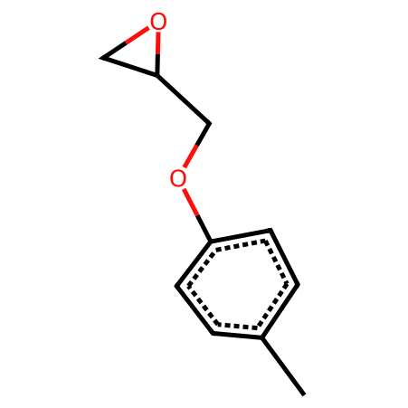 Cc1ccc(OCC2CO2)cc1